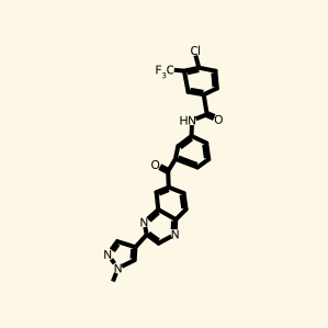 Cn1cc(-c2cnc3ccc(C(=O)c4cccc(NC(=O)c5ccc(Cl)c(C(F)(F)F)c5)c4)cc3n2)cn1